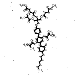 C=C(C)C(=O)OCC(COC(=O)CCC(=O)OC)(COC(=O)CCC(=O)OC)COc1ccc(-c2cc(OC(=O)C(=C)C)c(-c3ccc(CCCCCCC)cc3F)cc2OC(=O)C(=C)C)cc1